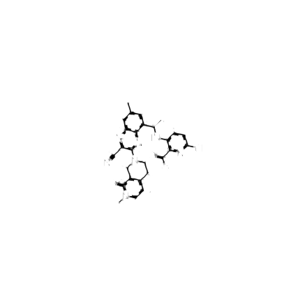 Cc1cc([C@@H](C)Nc2ccc(Cl)nc2C(=O)O)c2nc(N3CCc4ccn(C)c(=O)c4C3)c(C#N)nc2c1